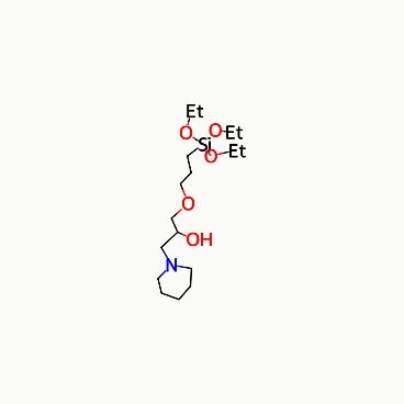 CCO[Si](CCCOCC(O)CN1CCCCC1)(OCC)OCC